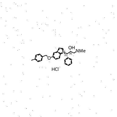 CNC[C@@H](O)[C@H](c1ccccc1)n1ccc2cc(OCc3ccc(C)cc3)ccc21.Cl